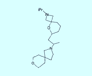 CC(C)N1CC2(CCCC(CC(C)N3CCC4(CCOCC4)C3)O2)C1